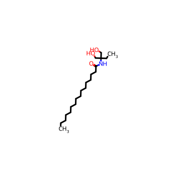 CCCCCCCCCCCCCCCC(=O)NC(CC)(CO)CO